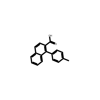 Cc1ccc(-c2c(C(=O)O)ccc3ccccc23)cc1